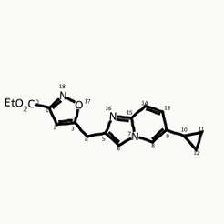 CCOC(=O)c1cc(Cc2cn3cc(C4CC4)ccc3n2)on1